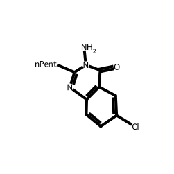 CCCCCc1nc2ccc(Cl)cc2c(=O)n1N